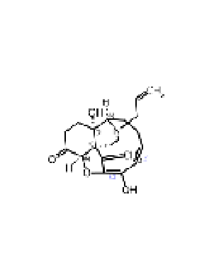 C=CCN1CC[C@@]23C(=C)/C4=C(O)\C=C/CC[C@@H]1[C@]2(O)CCC(=O)[C@@H]3O4